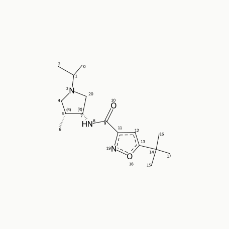 CC(C)N1C[C@@H](C)[C@@H](NC(=O)c2cc(C(C)(C)C)on2)C1